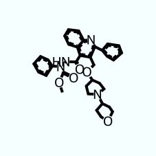 COC(=O)N(NC(=O)c1c(COC2CCN(C3CCOCC3)CC2)c(-c2ccccc2)nc2ccccc12)c1ccccc1